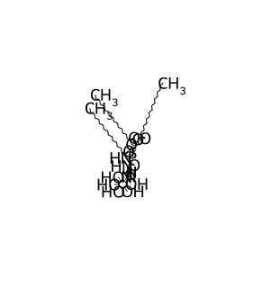 CCCCCCCCCCCCCCCCC(=O)N[C@H](CSC[C@@H](COC(=O)CCCCCCCCCCCCCCCC)OC(=O)CCCCCCCCCCCCCCCC)C(=O)Nc1cn([C@@H]2[C@H](O)[C@H](O)[C@@H](O)[C@H](O)[C@H]2O)nn1